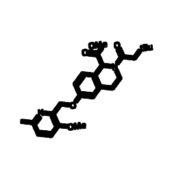 COC(=O)C1c2ccc(OCc3nc(C)ccc3OC)cc2CCN1C(=O)CC(C)(C)C